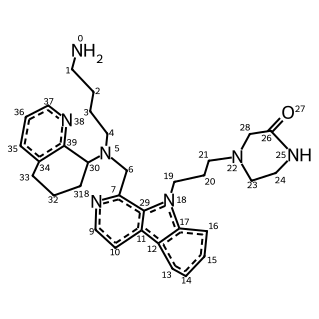 NCCCCN(Cc1nccc2c3ccccc3n(CCCN3CCNC(=O)C3)c12)C1CCCc2cccnc21